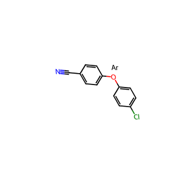 N#Cc1ccc(Oc2ccc(Cl)cc2)cc1.[Ar]